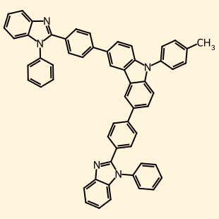 Cc1ccc(-n2c3ccc(-c4ccc(-c5nc6ccccc6n5-c5ccccc5)cc4)cc3c3cc(-c4ccc(-c5nc6ccccc6n5-c5ccccc5)cc4)ccc32)cc1